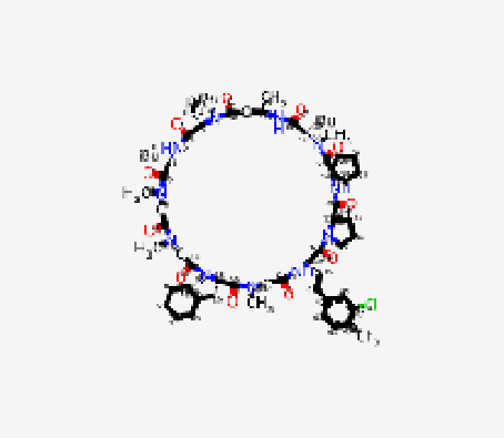 CC[C@H](C)[C@@H]1NC(=O)[C@H](CC(C)C)N(C)C(=O)C[C@@H](C)NC(=O)[C@H]([C@@H](C)CC)N(C)C(=O)C2(CCCC2)NC(=O)[C@@H]2CCCN2C(=O)[C@H](CCc2ccc(C(F)(F)F)c(Cl)c2)NC(=O)CN(C)C(=O)[C@H](CC2CCCCC2)N(C)C(=O)CN(C)C(=O)CN(C)C1=O